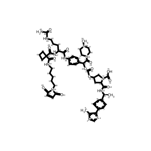 Cc1ncsc1-c1ccc([C@H](C)NC(=O)C2CC(OC(=O)OC(C(=O)N3CCN(C)CC3)c3ccc(NC(=O)C(CCCNC(N)=O)NC(=O)C4(C(=O)NCCCCCN5C(=O)C=CC5=O)CCC4)cc3)CN2C(=O)O)cc1